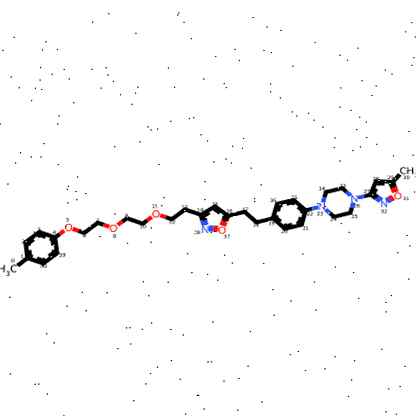 Cc1ccc(OCCOCCOCCc2cc(CCc3ccc(N4CCN(c5cc(C)on5)CC4)cc3)on2)cc1